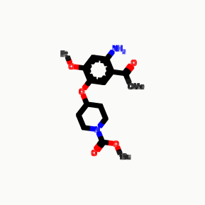 CCOc1cc(N)c(C(=O)OC)cc1OC1CCN(C(=O)OC(C)(C)C)CC1